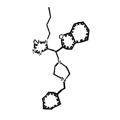 CCCCn1nnnc1C(c1cc2ccccc2o1)N1CCN(Cc2ccccc2)CC1